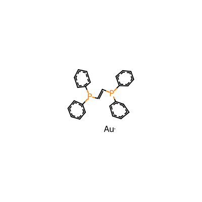 C(=CP(c1ccccc1)c1ccccc1)P(c1ccccc1)c1ccccc1.[Au]